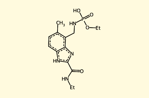 CCNC(=O)c1nc2c(CNP(=O)(O)OCC)c(C)ccc2[nH]1